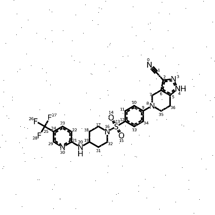 N#Cc1n[nH]c2c1CN(c1ccc(S(=O)(=O)N3CCC(Nc4ccc(C(F)(F)F)cn4)CC3)cc1)CC2